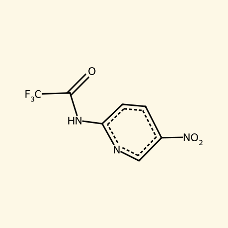 O=C(Nc1ccc([N+](=O)[O-])cn1)C(F)(F)F